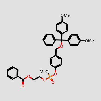 COc1ccc(C(OCc2ccc(OP(=O)(OC)OCCOC(=O)c3ccccc3)cc2)(c2ccccc2)c2ccc(OC)cc2)cc1